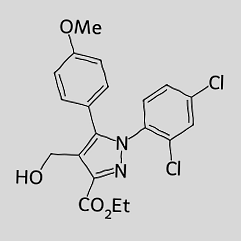 CCOC(=O)c1nn(-c2ccc(Cl)cc2Cl)c(-c2ccc(OC)cc2)c1CO